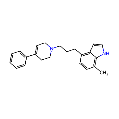 Cc1ccc(CCCN2CC=C(c3ccccc3)CC2)c2cc[nH]c12